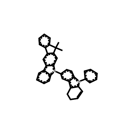 CC1(C)c2ccccc2-c2cc3c4ccccc4n(-c4ccc5c(c4)c4c(n5-c5ccccc5)C=CCC4)c3cc21